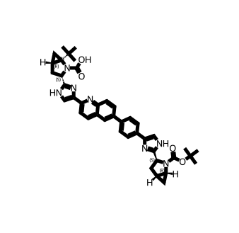 CC(C)(C)OC(=O)N1[C@@H]2C[C@@H]2C[C@H]1c1nc(-c2ccc(-c3ccc4nc(-c5c[nH]c([C@@H]6C[C@@H]7C[C@@]7(C(C)(C)C)N6C(=O)O)n5)ccc4c3)cc2)c[nH]1